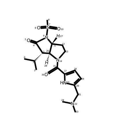 CC(C)[C@@H]1C(=O)N(S(C)(=O)=O)[C@@H]2CCN(C(=O)c3ccc(CN(C)C)[nH]3)[C@H]21